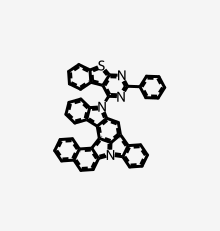 c1ccc(-c2nc(-n3c4ccccc4c4c5c6c7ccccc7ccc6n6c7ccccc7c(cc43)c56)c3c(n2)sc2ccccc23)cc1